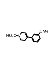 COc1cccc(C2=CCN(C(=O)O)CC2)c1